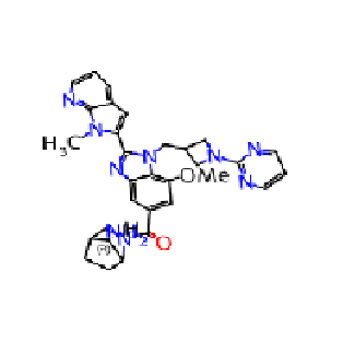 COc1cc(C(=O)N2CC3CCC2[C@@H]3N)cc2nc(-c3cc4cccnc4n3C)n(CC3CN(c4ncccn4)C3)c12